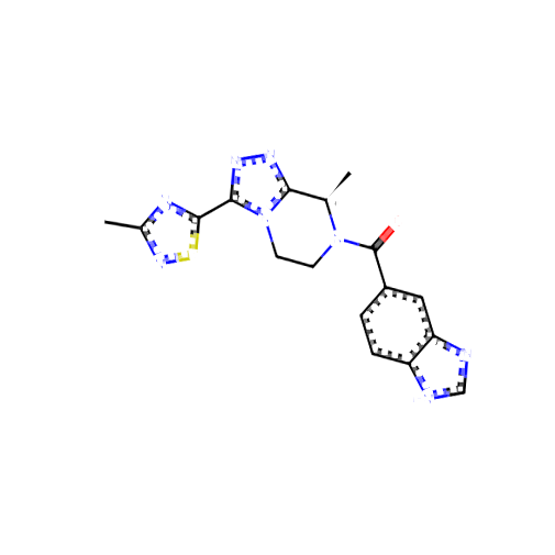 Cc1nsc(-c2nnc3n2CCN(C(=O)c2ccc4[nH]cnc4c2)[C@@H]3C)n1